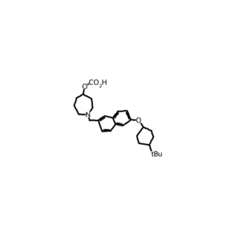 CC(C)(C)C1CCC(Oc2ccc3cc(CN4CCCC(OC(=O)O)CC4)ccc3c2)CC1